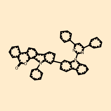 O=c1oc2c(ccc3c4ccc(-c5ccc6c7ccccc7n(-c7nc(-c8ccccc8)cc(-c8ccccc8)n7)c6c5)cc4n(-c4ccccc4)c32)c2ccccc12